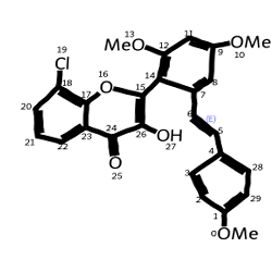 COc1ccc(/C=C/c2cc(OC)cc(OC)c2-c2oc3c(Cl)cccc3c(=O)c2O)cc1